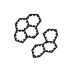 c1cc2ccc3cccc4ccc(c1)c2c34.c1ccc2c(c1)ccc1ccccc12